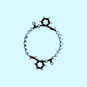 O=C1CCCCCCCC/C=C/c2ccccc2OC(=O)CCCCCCCC/C=C/c2ccccc2O1